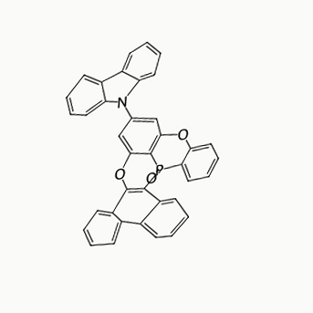 O=P12c3ccccc3Oc3cc(-n4c5ccccc5c5ccccc54)cc(c31)Oc1c2c2ccccc2c2ccccc12